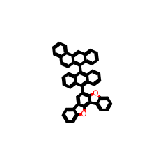 c1ccc2c(-c3c4ccccc4c(-c4cc5c6ccccc6oc5c5c4oc4ccccc45)c4ccccc34)c3ccc4ccccc4c3cc2c1